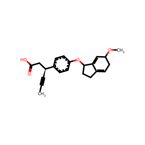 CC#C[C@@H](CC(=O)O)c1ccc(OC2CCC3=CCC(OC)C=C32)cc1